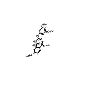 COC(=O)c1ccc(NC(C)=O)cc1S(=O)(=O)NC(=O)Nc1nc(OC)cc(OC)n1